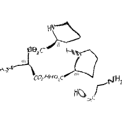 C[C@H](N)C(=O)O.NCC(=O)O.O=C(O)[C@@H]1CCCN1.O=C(O)[C@@H]1CCCN1